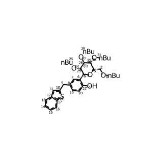 CCCCOC[C@H]1O[C@@H](c2cc(Cc3cc4ccccc4s3)ccc2O)[C@H](OCCCC)[C@@H](OCCCC)[C@@H]1OCCCC